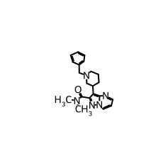 CN(C)C(=O)c1nn2cccnc2c1C1CCCN(Cc2ccccc2)C1